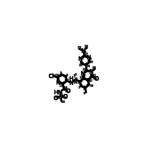 Cc1cc([C@@H](C)Nc2ccc(Cl)nc2C(=O)NS(C)(=O)=O)c2nc(-c3cnc(N(C)C)nc3)n(C)c(=O)c2c1